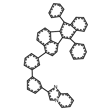 c1ccc(-c2c3c(c(-c4ccccc4)c4ccccc24)-c2ccc(-c4cccc(-c5cccc(-c6cn7ccccc7n6)c5)c4)c4cccc-3c24)cc1